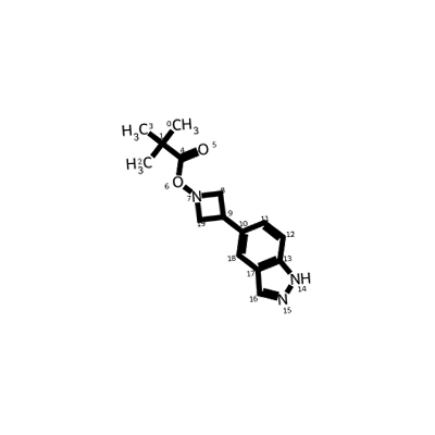 CC(C)(C)C(=O)ON1CC(c2ccc3[nH]ncc3c2)C1